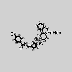 CCCCCCN(Cc1ccccn1)C1CCN(S(=O)(=O)c2ccc(CNC(=O)c3ccc(Cl)cc3)s2)CC1